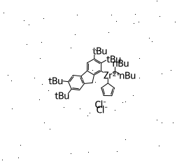 CCCC[C](CCCC)=[Zr+2]([c]1c2c(cc(C(C)(C)C)c1C(C)(C)C)-c1cc(C(C)(C)C)c(C(C)(C)C)cc1C2)[CH]1C=CC=C1.[Cl-].[Cl-]